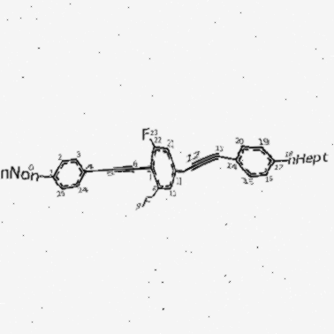 CCCCCCCCCc1ccc(C#Cc2c(F)cc(C#Cc3ccc(CCCCCCC)cc3)cc2F)cc1